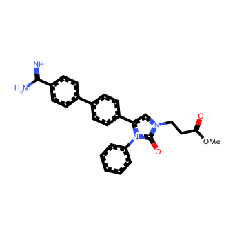 COC(=O)CCn1cc(-c2ccc(-c3ccc(C(=N)N)cc3)cc2)n(-c2ccccc2)c1=O